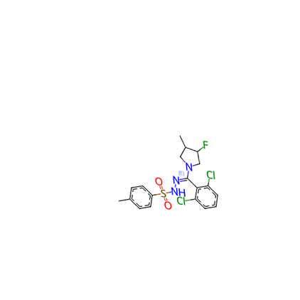 Cc1ccc(S(=O)(=O)N/N=C(\c2c(Cl)cccc2Cl)N2CC(C)C(F)C2)cc1